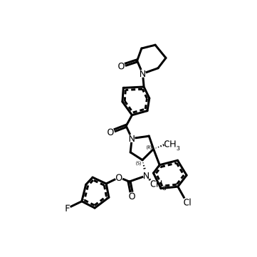 CN(C(=O)Oc1ccc(F)cc1)[C@@H]1CN(C(=O)c2ccc(N3CCCCC3=O)cc2)C[C@@]1(C)c1ccc(Cl)cc1